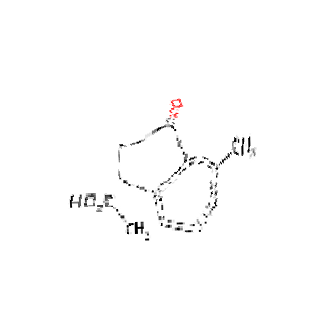 CC(=O)O.Cc1cccc2c1C(=O)CC2